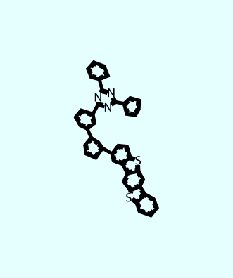 c1ccc(-c2nc(-c3ccccc3)nc(-c3cccc(-c4cccc(-c5ccc6sc7cc8c(cc7c6c5)sc5ccccc58)c4)c3)n2)cc1